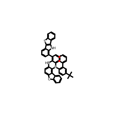 Cc1cc(-c2cccc3c2[nH]c2c4ccccc4sc32)c2c(c1)N(c1ccc(C(C)(C)C)cc1-c1ccccc1)c1c(ccc3oc4ccccc4c13)B2